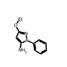 CCOc1cc(N)n(-c2ccccc2)n1